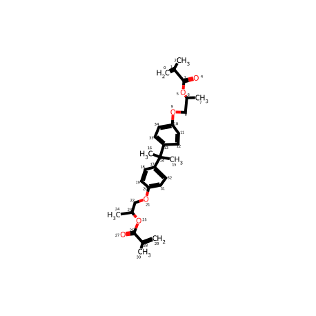 C=C(C)C(=O)OC(C)COc1ccc(C(C)(C)c2ccc(OCC(C)OC(=O)C(=C)C)cc2)cc1